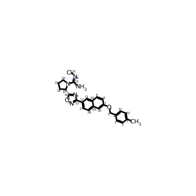 Cc1ccc(COc2ccc3cc(-c4noc([C@@H]5CCCN5/C(N)=N\Cl)n4)ccc3c2)cc1